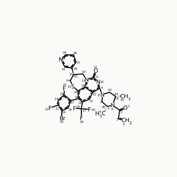 C=CC(=O)N1[C@H](C)CN(c2nc(=O)n3c4c(c(-c5cc(Br)c(F)cc5F)c(C(F)(F)F)cc24)SC[C@@H](c2cccnc2)C3)C[C@@H]1C